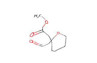 COC(=O)C1([C]=O)CCCO1